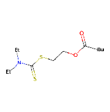 CCC(C)C(=O)OCCSC(=S)N(CC)CC